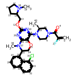 C=C(F)C(=O)N1CCN(c2nc(OCC3CCCN3C)nc3c2OCC(c2cccc4cccc(Cl)c24)N3C)[C@@H](C)C1